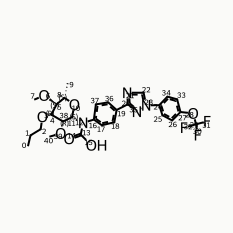 CCCO[C@@H]1[C@@H](OC)[C@H](C)O[C@H](N(C(=O)O)c2ccc(-c3ncn(-c4ccc(OC(F)(F)F)cc4)n3)cc2)[C@@H]1OC